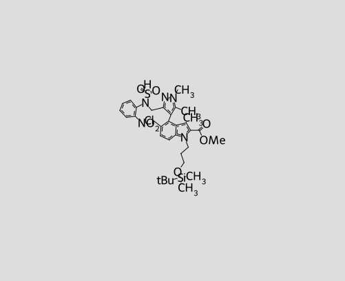 COC(=O)c1c(C)c2c(-c3c(CN(c4ccccc4[N+](=O)[O-])[SH](=O)=O)nn(C)c3C)c(Cl)ccc2n1CCCO[Si](C)(C)C(C)(C)C